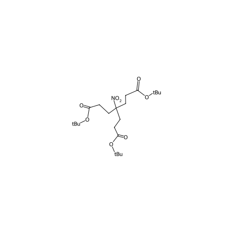 CC(C)(C)OC(=O)CCC(CCC(=O)OC(C)(C)C)(CCC(=O)OC(C)(C)C)[N+](=O)[O-]